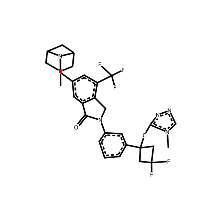 CN1CC2CC(C1)N2Cc1cc2c(c(C(F)(F)F)c1)CN(c1cccc(C3(Cc4nncn4C)CC(F)(F)C3)c1)C2=O